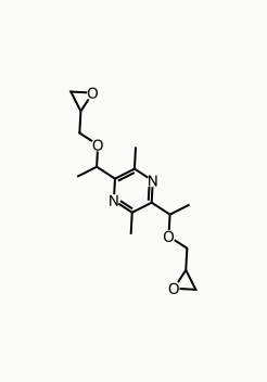 Cc1nc(C(C)OCC2CO2)c(C)nc1C(C)OCC1CO1